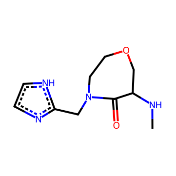 CNC1COCCN(Cc2ncc[nH]2)C1=O